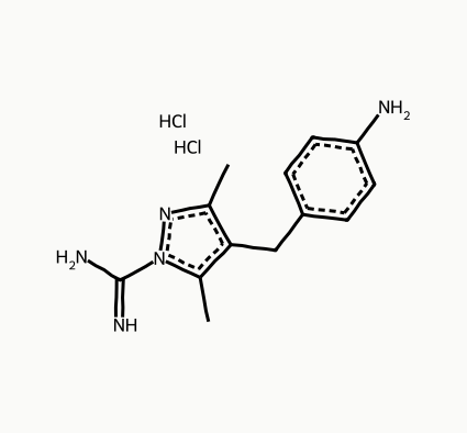 Cc1nn(C(=N)N)c(C)c1Cc1ccc(N)cc1.Cl.Cl